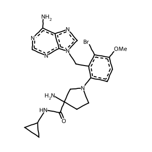 COc1ccc(N2CCC(N)(C(=O)NC3CC3)C2)c(Cn2cnc3c(N)ncnc32)c1Br